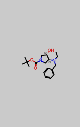 CCN(Cc1ccccc1)[C@H]1CN(C(=O)OC(C)(C)C)C[C@@H]1O